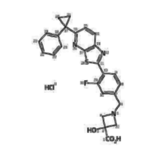 Cl.O=C(O)C1(O)CN(Cc2ccc(-c3nc4ccc(C5(c6ccccc6)CC5)nc4s3)c(F)c2)C1